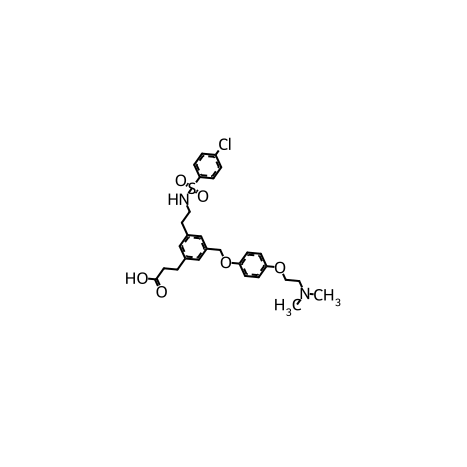 CN(C)CCOc1ccc(OCc2cc(CCNS(=O)(=O)c3ccc(Cl)cc3)cc(CCC(=O)O)c2)cc1